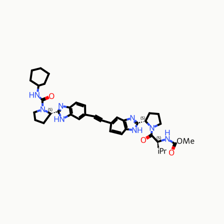 COC(=O)N[C@H](C(=O)N1CCC[C@H]1c1nc2cc(C#Cc3ccc4nc([C@@H]5CCCN5C(=O)NC5CCCCC5)[nH]c4c3)ccc2[nH]1)C(C)C